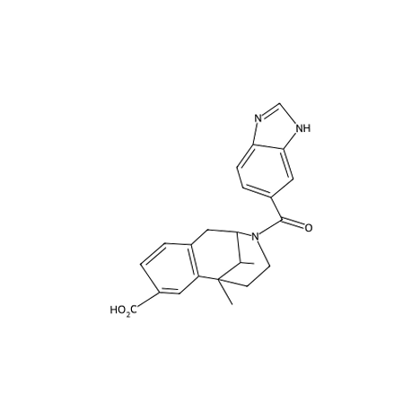 CC1C2Cc3ccc(C(=O)O)cc3C1(C)CCN2C(=O)c1ccc2nc[nH]c2c1